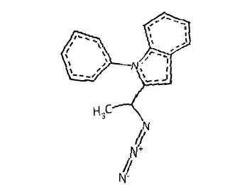 CC(N=[N+]=[N-])c1cc2ccccc2n1-c1ccccc1